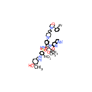 CC(C)c1ccccc1[C@@H]1COCCN1C1CC2(CCN(c3ccc(C(=O)NS(=O)(=O)c4ccc(NCC5CCC(C)(O)CC5)c([N+](=O)[O-])c4)c(N4c5cc6cc[nH]c6nc5O[C@@H]5[C@@H]4CCOC5(C)C)c3)CC2)C1